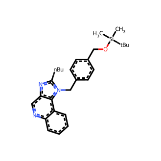 CCCCc1nc2cnc3ccccc3c2n1Cc1ccc(CO[Si](C)(C)C(C)(C)C)cc1